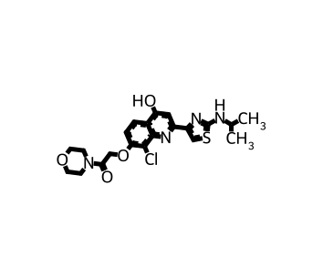 CC(C)Nc1nc(-c2cc(O)c3ccc(OCC(=O)N4CCOCC4)c(Cl)c3n2)cs1